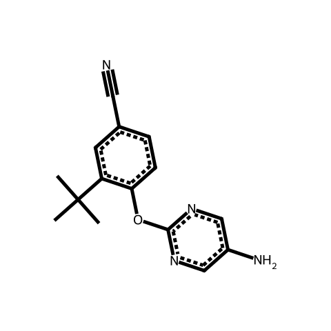 CC(C)(C)c1cc(C#N)ccc1Oc1ncc(N)cn1